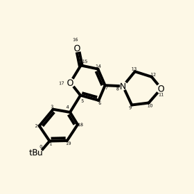 CC(C)(C)c1ccc(-c2cc(N3CCOCC3)cc(=O)o2)cc1